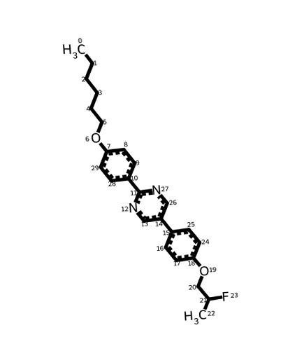 CCCCCCOc1ccc(-c2ncc(-c3ccc(OCC(C)F)cc3)cn2)cc1